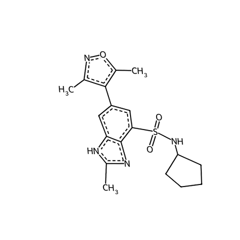 Cc1nc2c(S(=O)(=O)NC3CCCC3)cc(-c3c(C)noc3C)cc2[nH]1